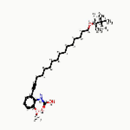 COc1cccc(C#CCCCCCCCCCCCCCCO[Si](C)(C)C(C)(C)C)c1NC(=O)O